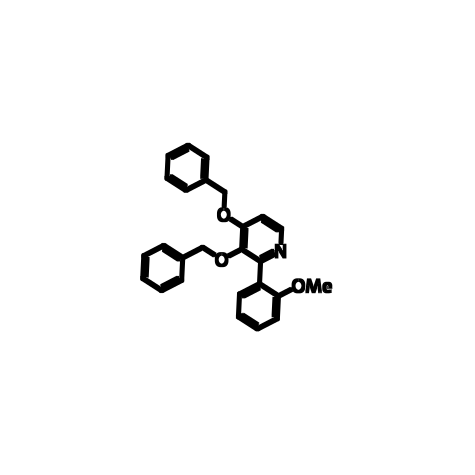 COc1ccccc1-c1nccc(OCc2ccccc2)c1OCc1ccccc1